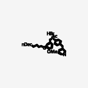 Br.CCCCCCCCCCCCCCOc1cc(CN(C(C)=O)c2ccc(Cc3cccnc3)cc2)ccc1OC